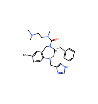 CN(C)CCN(C)C(=O)N1Cc2cc(C#N)ccc2N(Cc2c[nH]cn2)C[C@H]1Cc1ccccc1